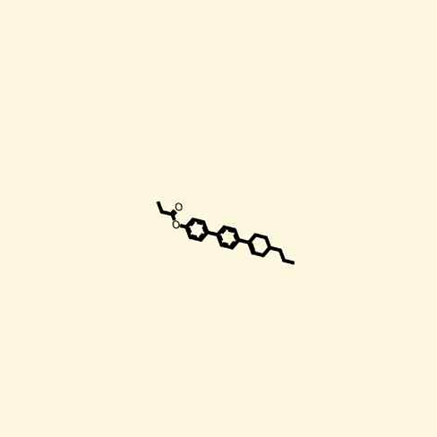 CCCC1CC=C(c2ccc(-c3ccc(OC(=O)CC)cc3)cc2)CC1